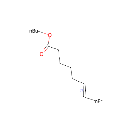 CCC/C=C/CCCCC(=O)OCCCC